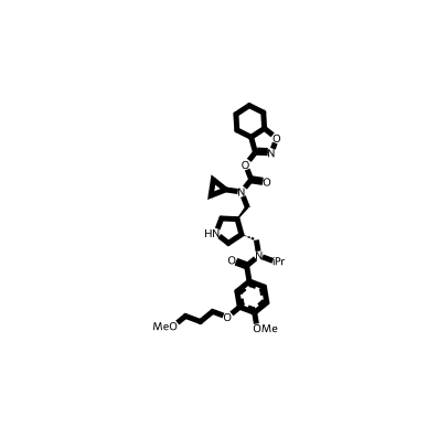 COCCCOc1cc(C(=O)N(C[C@@H]2CNC[C@H]2CN(C(=O)OC2=NOC3CCCCC23)C2CC2)C(C)C)ccc1OC